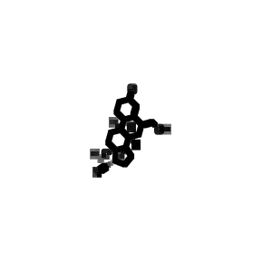 C[C@]12CC[C@H]3[C@@H](C/C(=C\O)C4=CC(=O)CC[C@@H]43)[C@@H]1CC[C@@H]2C#N